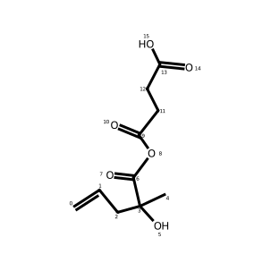 C=CCC(C)(O)C(=O)OC(=O)CCC(=O)O